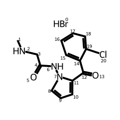 Br.CNCC(=O)Nn1cccc1C(=O)c1ccccc1Cl